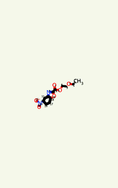 CCOCCOC(=O)c1nc2cc([N+](=O)[O-])ccc2o1